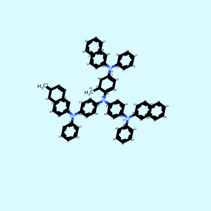 CC1C=Cc2cc(N(c3ccccc3)c3ccc(N(C4=CC=C(N(c5ccccc5)c5ccc6ccccc6c5)CC4C)c4ccc(N(c5ccccc5)c5ccc6ccccc6c5)cc4)cc3)ccc2C1